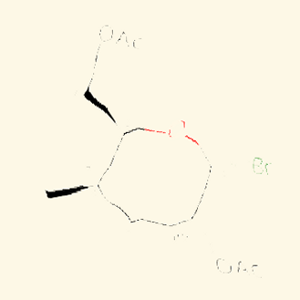 CC(=O)OC[C@H]1O[C@H](Br)[C@H](OC(C)=O)C[C@H]1C